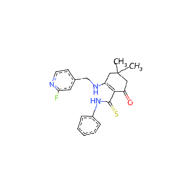 CC1(C)CC(=O)C(C(=S)Nc2ccccc2)=C(NCc2ccnc(F)c2)C1